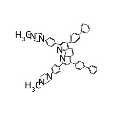 CN1CCN(c2ccc(-c3cc(-c4ccc(-c5ccccc5)cc4)c4ccc5c(-c6ccc(-c7ccccc7)cc6)cc(-c6ccc(N7CCN(C)CC7)cc6)nc5c4n3)cc2)CC1